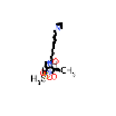 CCC[C@H]1C(=O)N(S(C)(=O)=O)[C@H]2CCN(C(=O)CCCCCCCCCN3CCC3)[C@H]12